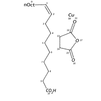 CCCCCCCC/C=C\CCCCCCCC(=O)O.O=C1CCC(=O)O1.[Cu]